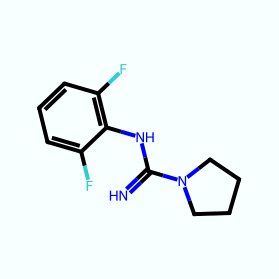 N=C(Nc1c(F)cccc1F)N1CCCC1